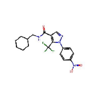 O=C(NCC1CCCCC1)c1cnn(-c2ccc([N+](=O)[O-])cc2)c1C(F)(F)F